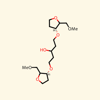 COCC1OCC[C@H]1OCCC(O)CCO[C@@H]1CCOC1COC